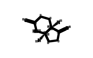 O=C1CC[C@H]2C(=O)CC[C@H]2N1